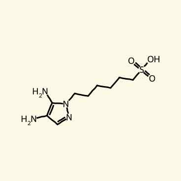 Nc1cnn(CCCCCCS(=O)(=O)O)c1N